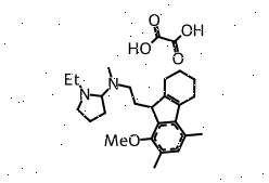 CCN1CCCC1N(C)CCC1C2=C(CCCC2)c2c(C)cc(C)c(OC)c21.O=C(O)C(=O)O